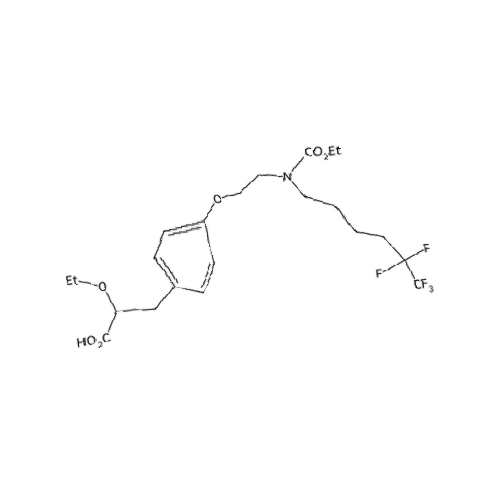 CCOC(=O)N(CCCCC(F)(F)C(F)(F)F)CCOc1ccc(CC(OCC)C(=O)O)cc1